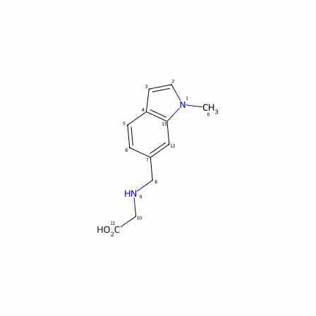 Cn1ccc2ccc(CNCC(=O)O)cc21